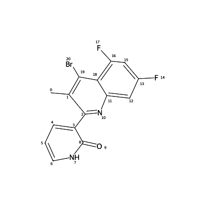 Cc1c(-c2ccc[nH]c2=O)nc2cc(F)cc(F)c2c1Br